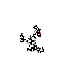 CC(C)[Si](Oc1cc(-c2nc3c4c(nc(OC[C@@]56CCCN5C[C@H](F)C6)nc4c2F)N(C)[C@@H](CCO[Si](c2ccccc2)(c2ccccc2)C(C)(C)C)CO3)c2cc(F)ccc2c1)(C(C)C)C(C)C